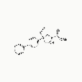 COC(=O)C1CC(SC(C)C)(c2ccc(-c3ccccc3)cc2)CN1